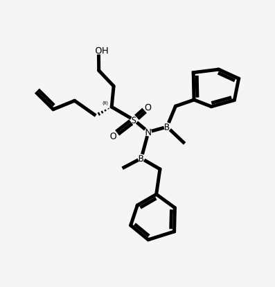 C=CCC[C@H](CCO)S(=O)(=O)N(B(C)Cc1ccccc1)B(C)Cc1ccccc1